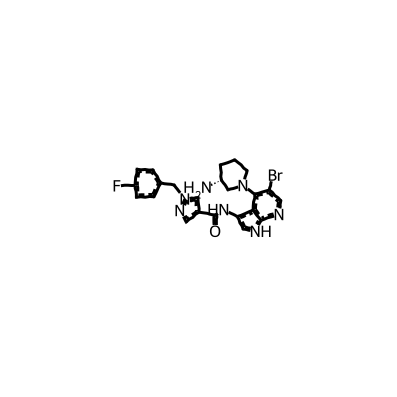 N[C@@H]1CCCN(c2c(Br)cnc3[nH]cc(NC(=O)c4cnn(Cc5ccc(F)cc5)c4)c23)C1